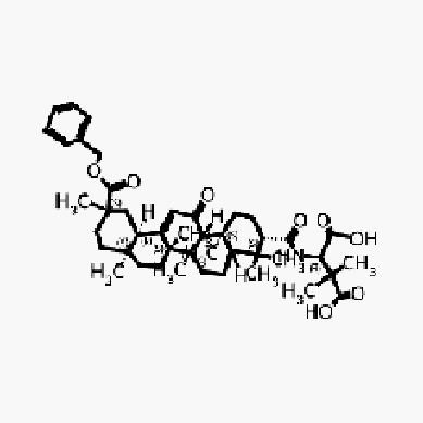 CC(C)(C(=O)O)[C@@H](NC(=O)[C@H]1CC[C@]2(C)[C@H]3C(=O)C=C4[C@@H]5C[C@@](C)(C(=O)OCc6ccccc6)CC[C@]5(C)CC[C@@]4(C)[C@]3(C)CC[C@H]2C1(C)C)C(=O)O